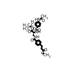 COC(=O)CCc1ccc(C(=O)NC[C@H](NS(=O)(=O)c2ccc(NC(C)=O)cc2)C(=O)OC(C)(C)C)cc1